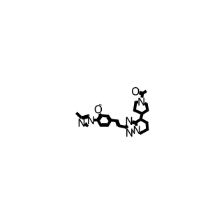 COc1cc(C=Cc2nc3n(n2)CCCC3C2CCN(C(C)=O)CC2)ccc1-n1cnc(C)c1